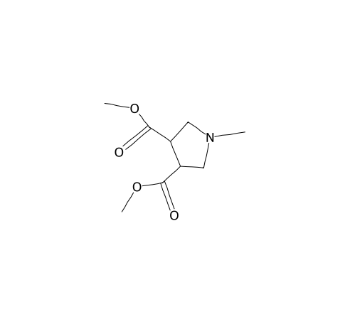 COC(=O)C1CN(C)CC1C(=O)OC